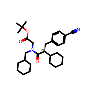 CC(C)(C)OC(=O)CN(CC1CCCCC1)C(=O)[C@@H](Cc1ccc(C#N)cc1)C1CCCCC1